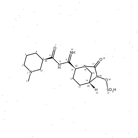 CN1CCC[C@@H](C(=O)NC(=N)[C@@H]2CC[C@@H]3CN2C(=O)N3OS(=O)(=O)O)C1